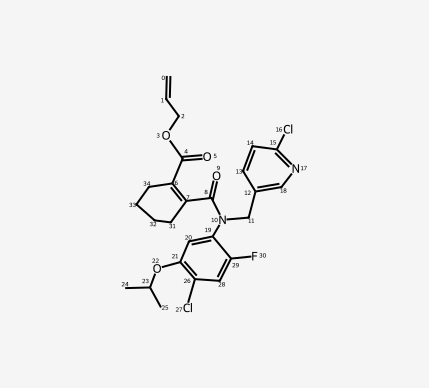 C=CCOC(=O)C1=C(C(=O)N(Cc2ccc(Cl)nc2)c2cc(OC(C)C)c(Cl)cc2F)CCCC1